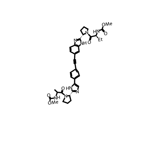 CC[C@H](NC(=O)OC)C(=O)N1CCC[C@H]1c1nc2ccc(C#Cc3ccc(-c4cnc([C@@H]5CCCN5C(=O)C(C)NC(=O)OC)[nH]4)cc3)cc2[nH]1